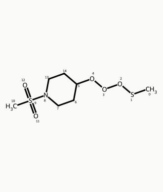 CSOOOC1CCN(S(C)(=O)=O)CC1